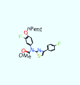 CCCCCOc1ccc(N(C(=O)OC)c2nc(-c3ccc(F)cc3)cs2)cc1F